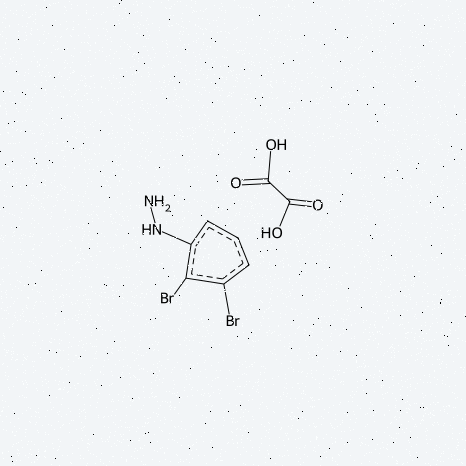 NNc1cccc(Br)c1Br.O=C(O)C(=O)O